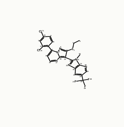 CCSc1nn2c(-c3ccc(Cl)cc3Cl)ccnc2c1-c1nc2cc(C(F)(F)F)cnc2n1C